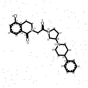 O=C(CN1CCc2c(Cl)cccc2C1=O)N1CCC(N2CCC(c3ccccc3)CC2)C1